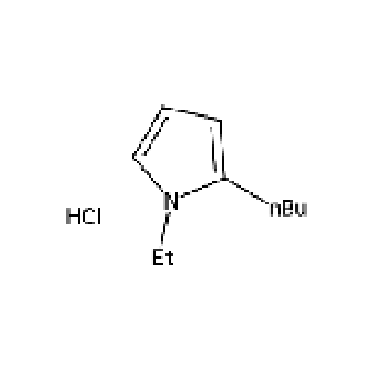 CCCCc1cccn1CC.Cl